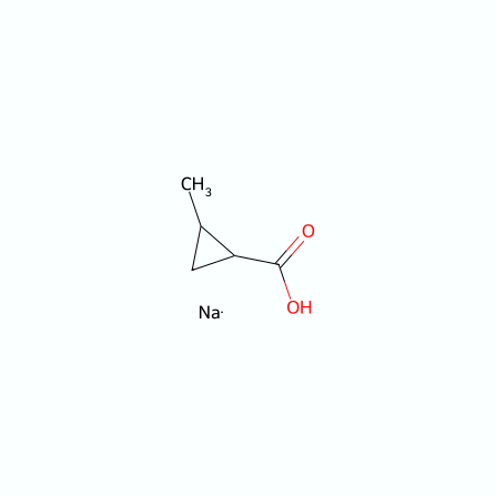 CC1CC1C(=O)O.[Na]